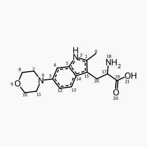 Cc1[nH]c2cc(N3CCOCC3)ccc2c1CC(N)C(=O)O